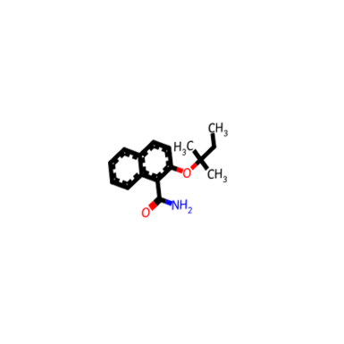 CCC(C)(C)Oc1ccc2ccccc2c1C(N)=O